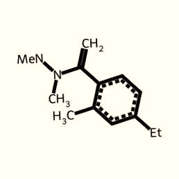 C=C(c1ccc(CC)cc1C)N(C)NC